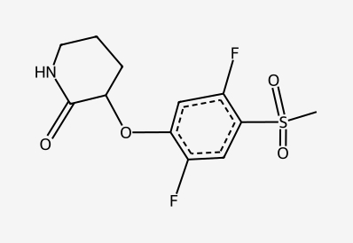 CS(=O)(=O)c1cc(F)c(OC2CCCNC2=O)cc1F